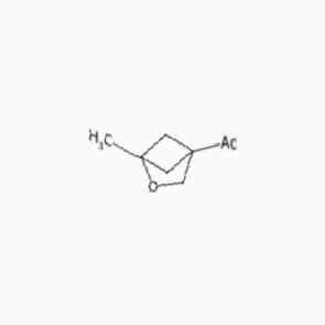 CC(=O)C12COC(C)(C1)C2